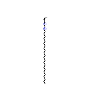 [CH]=C/C=C/C=C/CCCCCCCCCCCCCCCCCCCCCCC